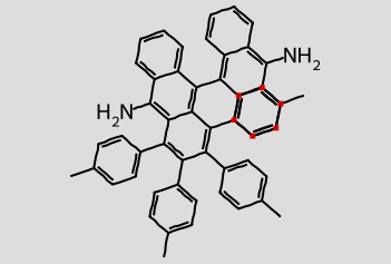 Cc1ccc(-c2c(-c3ccc(C)cc3)c(-c3ccc(C)cc3)c3c(-c4c5ccccc5c(N)c5ccccc45)c4ccccc4c(N)c3c2-c2ccc(C)cc2)cc1